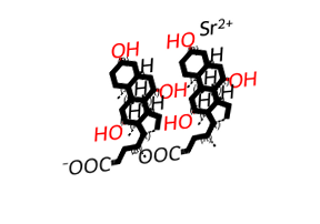 C[C@H](CCC(=O)[O-])[C@H]1CC[C@H]2[C@@H]3[C@H](O)C[C@@H]4C[C@H](O)CC[C@]4(C)[C@H]3C[C@H](O)[C@]12C.C[C@H](CCC(=O)[O-])[C@H]1CC[C@H]2[C@@H]3[C@H](O)C[C@@H]4C[C@H](O)CC[C@]4(C)[C@H]3C[C@H](O)[C@]12C.[Sr+2]